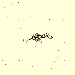 CC#Cc1cc(C)c(C2C(=O)CC3(C=CN(C(=O)CC#N)CC3)CC2=O)c(C)c1